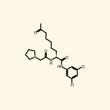 CC(=O)CCCCC[C@H](NC(=O)CN1CCCC1)C(=O)Nc1cc(Cl)cc(Cl)c1